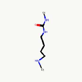 CCNCCCCNC(=O)NCC